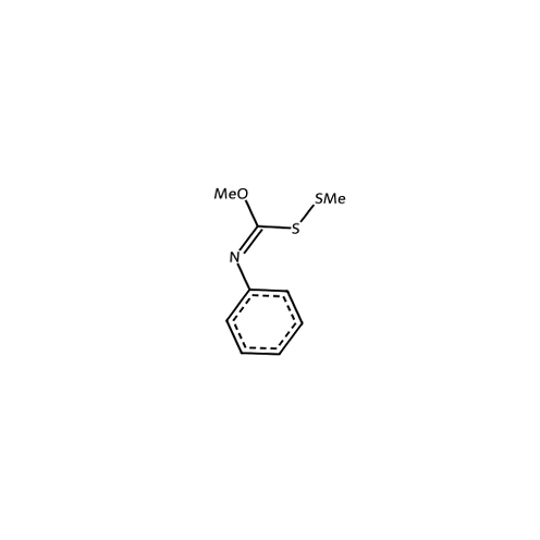 COC(=Nc1ccccc1)SSC